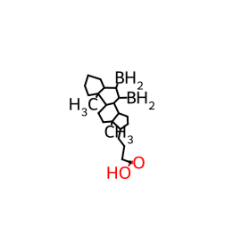 BC1C(B)C2CCCCC2(C)C2CCC3(C)C(CCCC(=O)O)CCC3C12